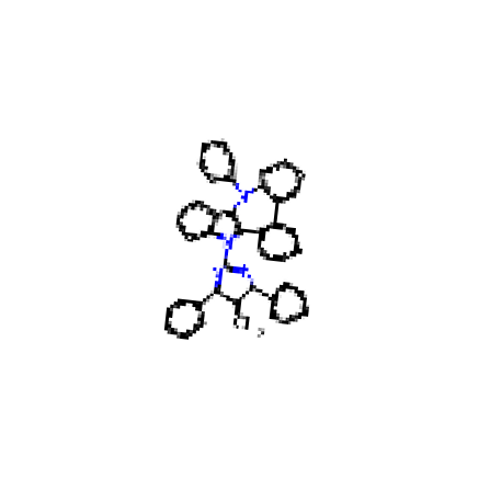 C=C1C(c2ccccc2)=NC(n2c3c(c4ccccc42)N(c2ccccc2)c2ccccc2-c2ccccc2-3)=NC1c1ccccc1